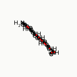 C=C(C)C(CCCCNC(=O)COCCOCCNC(=O)COCCOCCNC(=O)CCCC(=O)NCCOCCOCC(=O)NCCOCCOCC(=O)CN)NCC(C)=O